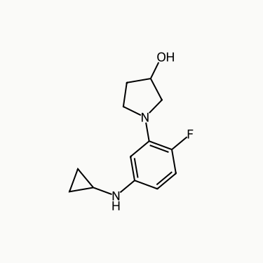 OC1CCN(c2cc(NC3CC3)ccc2F)C1